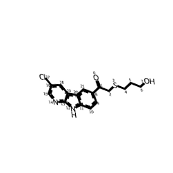 O=C(CSCCCO)c1ccc2[nH]c3ncc(Cl)cc3c2c1